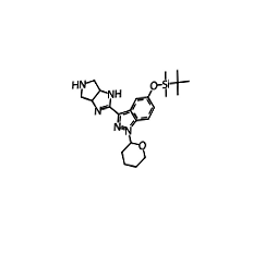 CC(C)(C)[Si](C)(C)Oc1ccc2c(c1)c(C1=NC3CNCC3N1)nn2C1CCCCO1